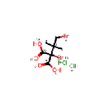 CC(C)(CBr)C(Br)(C(=O)O)C(=O)O.Cl.Cl